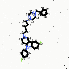 Fc1ccc(N2c3ccc(F)cc3C3CN(CCCCCN4CCN(Cc5ccccc5)CC4)CCC32)cc1